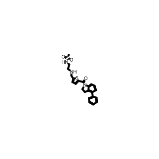 CS(=O)(=O)NCCNCc1ccc(C(=O)N2CCc3c(-c4ccccc4)cccc32)s1